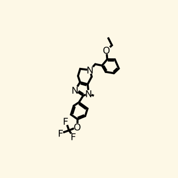 CCOc1ccccc1CN1CCc2nc(-c3ccc(OC(F)(F)F)cc3)n(C)c2C1